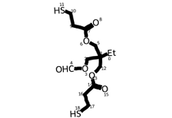 CCC(COC=O)(COC(=O)CCS)COC(=O)CCS